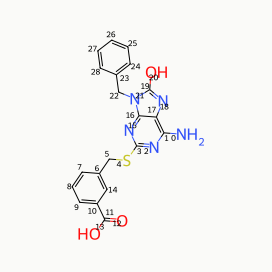 Nc1nc(SCc2cccc(C(=O)O)c2)nc2c1nc(O)n2Cc1ccccc1